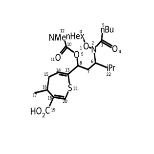 CCCCCCON(C(=O)CCCC)C(CC(OC(=O)NC)C1=CCC(C)C(C(=O)O)=CS1)C(C)C